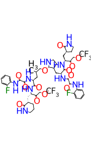 CC(COC1NCCC1C[C@H](NC(=O)C(=O)Nc1ccccc1F)C(=O)N[C@@H](C[C@@H]1CCNC1=O)C(=O)COC(F)(F)F)C[C@H](NC(=O)C(=O)Nc1ccccc1F)C(=O)N[C@@H](C[C@@H]1CCCNC1=O)C(=O)COC(F)(F)F